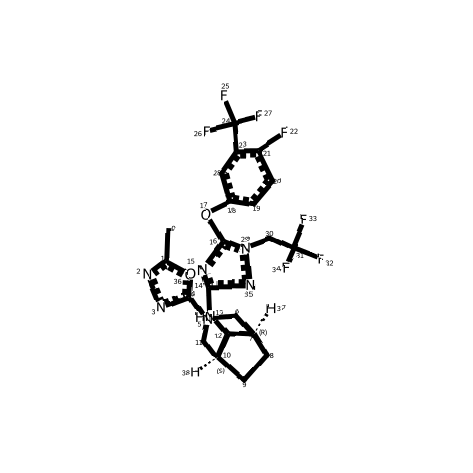 Cc1nnc(N2C[C@H]3CC[C@@H](C2)C3Nc2nc(Oc3ccc(F)c(C(F)(F)F)c3)n(CC(F)(F)F)n2)o1